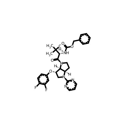 CC(C)(C)[C@H](NC(=O)OCc1ccccc1)C(=O)N1CC[C@@H]2[C@H]1[C@@H](Oc1ccc(F)c(F)c1)CN2c1ncccn1